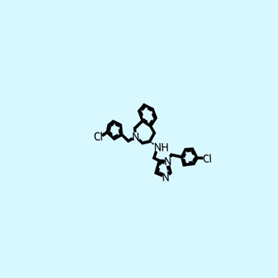 Clc1ccc(Cn2cncc2CN[C@H]2Cc3ccccc3CN(Cc3cccc(Cl)c3)C2)cc1